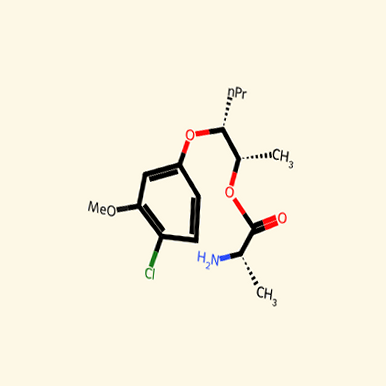 CCC[C@@H](Oc1ccc(Cl)c(OC)c1)[C@H](C)OC(=O)[C@H](C)N